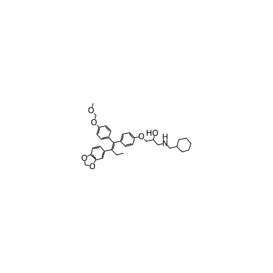 CCC(=C(c1ccc(OCOC)cc1)c1ccc(OCC(O)CNCC2CCCCC2)cc1)c1ccc2c(c1)OCO2